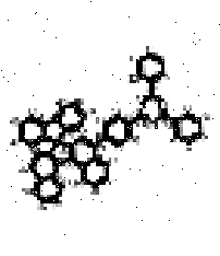 c1ccc(-c2nc(-c3ccccc3)nc(-c3ccc(-c4cc5c(c6ccccc46)-c4c(ccc6ccccc46)C54c5ccccc5-c5ccccc54)cc3)n2)cc1